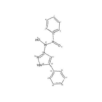 O=C(c1ccccc1)N(O)c1cc(-c2ccccc2)[nH]n1